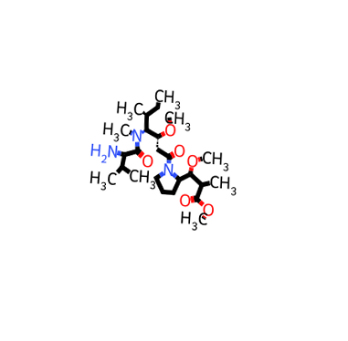 CC[C@H](C)[C@@H]([C@@H](CC(=O)N1CCCC1C(OC)C(C)C(=O)OC)OC)N(C)C(=O)C(N)C(C)C